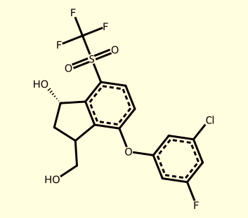 O=S(=O)(c1ccc(Oc2cc(F)cc(Cl)c2)c2c1[C@@H](O)CC2CO)C(F)(F)F